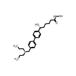 CCCN(CCC)Cc1ccc(-c2ccc([C@H](O)CCCCC(=O)NO)cc2)cc1